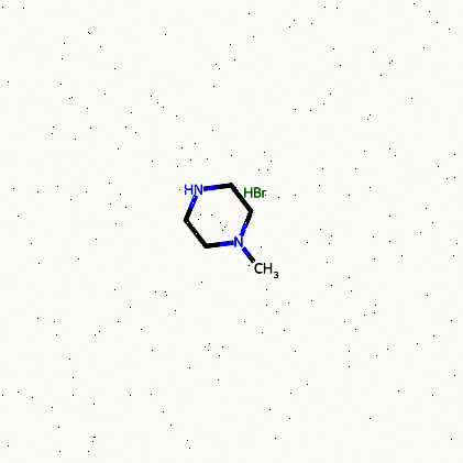 Br.CN1CCNCC1